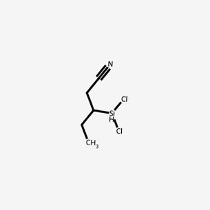 CCC(CC#N)[SiH](Cl)Cl